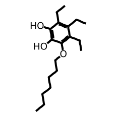 CCCCCCCOc1c(O)c(O)c(CC)c(CC)c1CC